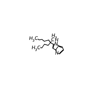 CCCCCC(C)(CCCC)c1cc2ncccc2[nH]1